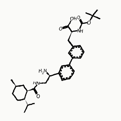 CC(C)[C@@H]1CC[C@@H](C)C[C@H]1C(=O)NC[C@@H](N)c1cccc(-c2cccc(C[C@H](NC(=O)OC(C)(C)C)C(=O)O)c2)c1